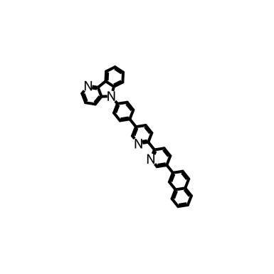 c1ccc2cc(-c3ccc(-c4ccc(-c5ccc(-n6c7ccccc7c7ncccc76)cc5)cn4)nc3)ccc2c1